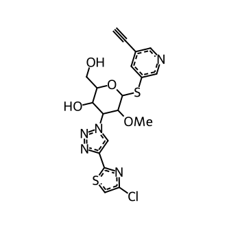 C#Cc1cncc(SC2OC(CO)C(O)C(n3cc(-c4nc(Cl)cs4)nn3)C2OC)c1